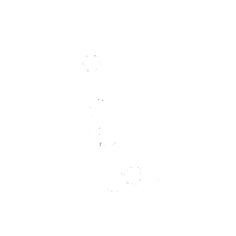 COc1cc(OC)nc(OCC(=O)NC23CCC(NC(=O)COc4ccc(Cl)c(F)c4)(CC2)C[C@@H]3O)n1